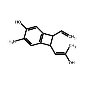 C=CC1c2cc(O)c(N)cc2C1/C=C(\C)O